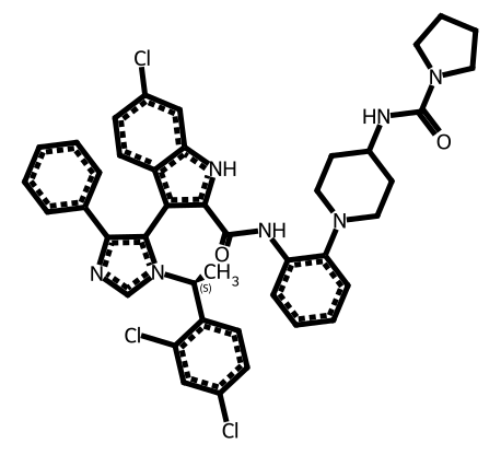 C[C@@H](c1ccc(Cl)cc1Cl)n1cnc(-c2ccccc2)c1-c1c(C(=O)Nc2ccccc2N2CCC(NC(=O)N3CCCC3)CC2)[nH]c2cc(Cl)ccc12